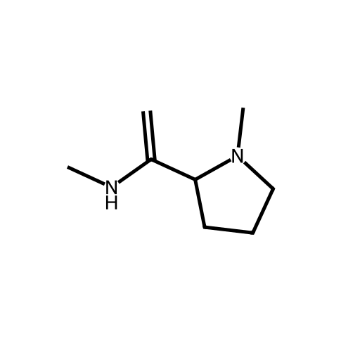 C=C(NC)C1CCCN1C